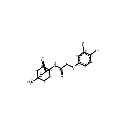 NC12CCC(NC(=O)COc3ccc(F)c(F)c3)(CC1)C(=O)C2